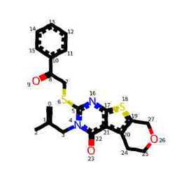 C=C(C)Cn1c(SCC(=O)c2ccccc2)nc2sc3c(c2c1=O)CCOC3